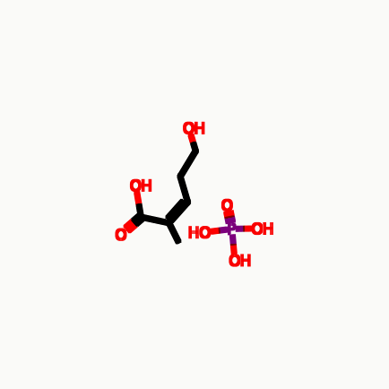 CC(=CCCO)C(=O)O.O=P(O)(O)O